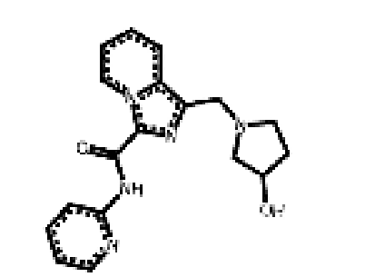 O=C(Nc1ccccn1)c1nc(CN2CCC(O)C2)c2ccccn12